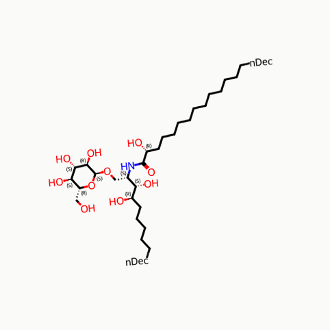 CCCCCCCCCCCCCCCCCCCCCC[C@@H](O)C(=O)N[C@@H](CO[C@H]1O[C@H](CO)[C@@H](O)[C@H](O)[C@H]1O)[C@H](O)[C@H](O)CCCCCCCCCCCCCCC